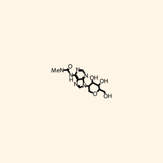 CNC(=O)Nc1ncnc2c1ncn2C1COC(CO)C(O)C1O